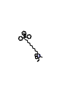 C=CC(=O)/C(C)=C\C(=O)CCCCCCCCCC[PH](c1ccccc1)(c1ccccc1)c1ccccc1